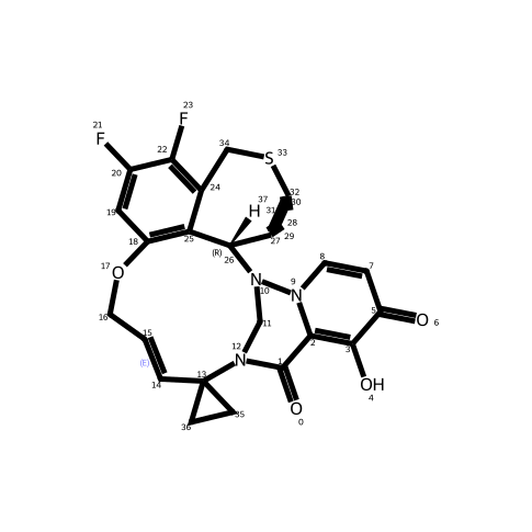 O=C1c2c(O)c(=O)ccn2N2CN1C1(/C=C/COc3cc(F)c(F)c4c3[C@@H]2c2ccccc2SC4)CC1